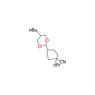 CCCCC1COC(C2CCC(C#N)(CCC)CC2)OC1